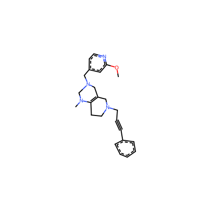 COc1cc(CN2CC3=C(CCN(CC#Cc4ccccc4)C3)N(C)C2)ccn1